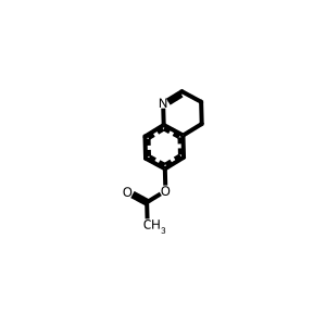 CC(=O)Oc1ccc2c(c1)CCC=N2